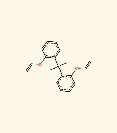 C=COc1ccccc1C(C)(C)c1ccccc1OC=C